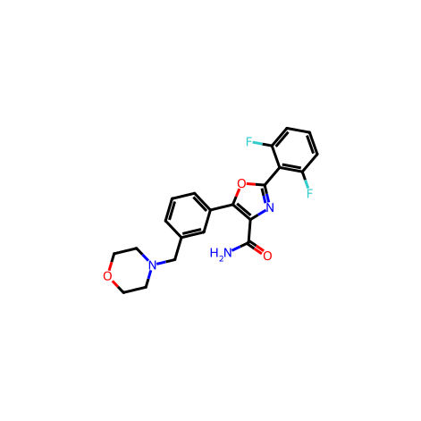 NC(=O)c1nc(-c2c(F)cccc2F)oc1-c1cccc(CN2CCOCC2)c1